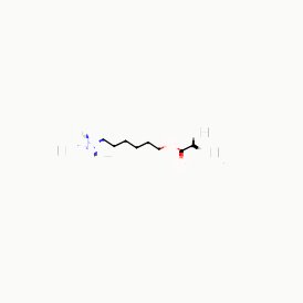 C=C(C)C(=O)OCCCCCC[N+](C)(C)C